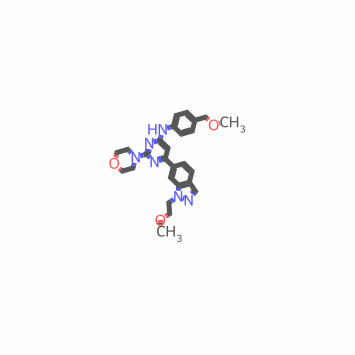 COCCn1ncc2ccc(-c3cc(Nc4ccc(COC)cc4)nc(N4CCOCC4)n3)cc21